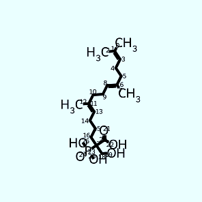 CC(C)=CCCC(C)=CCCC(C)=CCCCC(CO)(C(=O)O)P(=O)(O)O